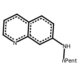 CCCCCNc1ccc2cccnc2c1